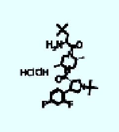 C[C@@H]1CN(C(=O)[C@@H]2CN(C(C)(C)C)C[C@H]2c2ccc(F)cc2F)[C@@H](C)CN1C(=O)[C@@H](N)CC(C)(C)C.Cl.Cl